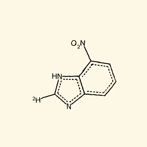 [2H]c1nc2cccc([N+](=O)[O-])c2[nH]1